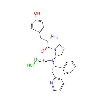 Cl.Cl.N[C@@H](Cc1ccc(O)cc1)C(=O)N1CCC[C@H]1N(C=O)[C@@H](Cc1ccccn1)c1ccccc1